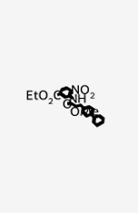 CCOC(=O)c1ccc([N+](=O)[O-])c(NC(=O)C(Cc2ccc(-c3ccccc3)cc2)OC)c1